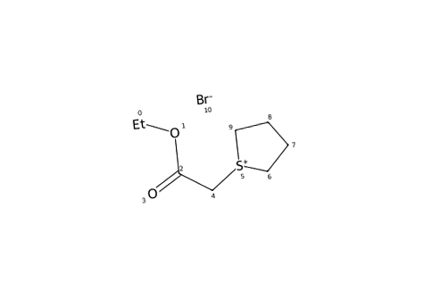 CCOC(=O)C[S+]1CCCC1.[Br-]